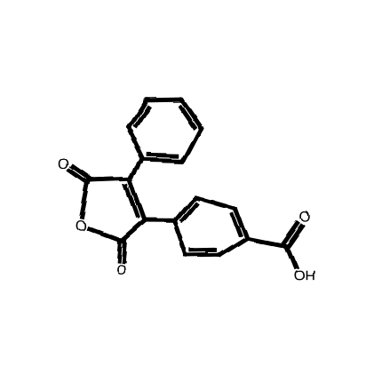 O=C1OC(=O)C(c2ccc(C(=O)O)cc2)=C1c1ccccc1